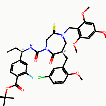 CC[C@@H](NC(=O)N1CC(=S)N(Cc2c(OC)cc(OC)cc2OC)C[C@@H](Cc2cc(Cl)ccc2OC)C1=O)c1ccc(C(=O)OC(C)(C)C)c(F)c1